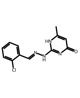 Cc1cc(=O)nc(NN=Cc2ccccc2Cl)[nH]1